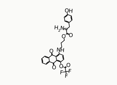 N[C@@H](Cc1ccc(O)cc1)C(=O)OCCCNc1ccc(OC(=O)C(F)(F)F)c2c1C(=O)c1ccccc1C2=O